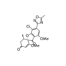 COC1=CC(=O)C[C@@H](C)[C@]12Oc1c(Cl)c(-c3noc(C)n3)cc(OC)c1C2=O